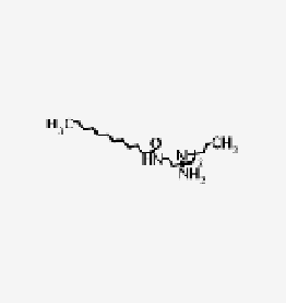 CCCCCCCCCCCC(=O)NCCC(N)(N)CCCCC